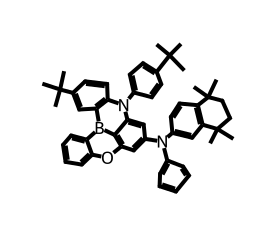 CC(C)(C)c1ccc(N2c3ccc(C(C)(C)C)cc3B3c4ccccc4Oc4cc(N(c5ccccc5)c5ccc6c(c5)C(C)(C)CCC6(C)C)cc2c43)cc1